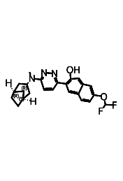 CN(c1ccc(-c2cc3ccc(OC(F)F)cc3cc2O)nn1)[C@H]1C[C@@H]2CC[C@@H](C2)C1